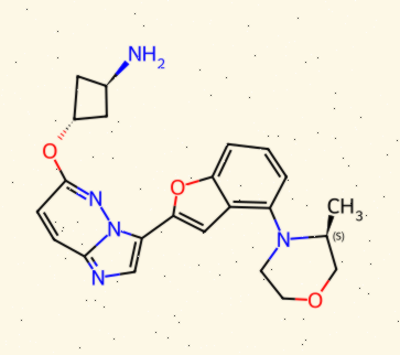 C[C@H]1COCCN1c1cccc2oc(-c3cnc4ccc(O[C@H]5C[C@H](N)C5)nn34)cc12